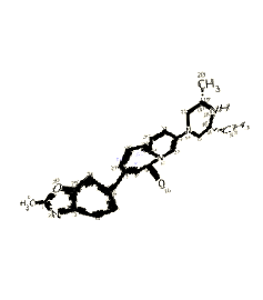 Cc1nc2ccc(C3=C\C(=O)N4C=C(N5C[C@@H](C)N[C@@H](C)C5)C=C\C4=C/C=C/3)cc2o1